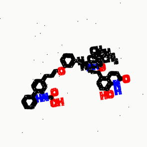 CC(C)(C)[Si](C)(C)O[C@H](CNCCc1cccc(OCCCc2ccc(-c3ccccc3)c(NC(=O)O)c2)c1)c1ccc(O)c2[nH]c(=O)ccc12